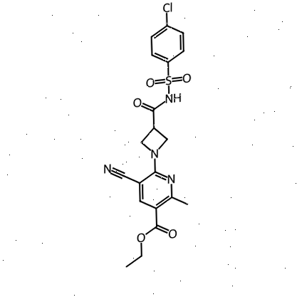 CCOC(=O)c1cc(C#N)c(N2CC(C(=O)NS(=O)(=O)c3ccc(Cl)cc3)C2)nc1C